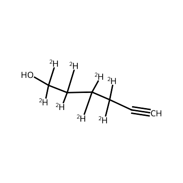 [2H]C([2H])(O)C([2H])([2H])C([2H])([2H])C([2H])([2H])C#C